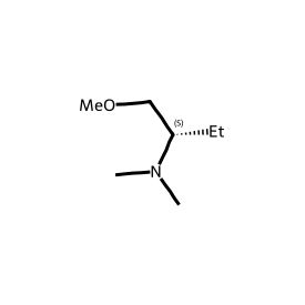 CC[C@@H](COC)N(C)C